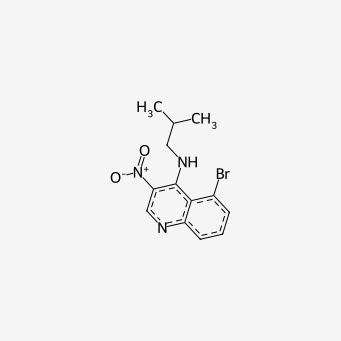 CC(C)CNc1c([N+](=O)[O-])cnc2cccc(Br)c12